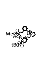 CC(C)(C)OC(=O)N1CCC(CCN2CCCNC2=O)CC1.COC(=O)[C@@](CN)(CCc1ccccc1)C(C)=O